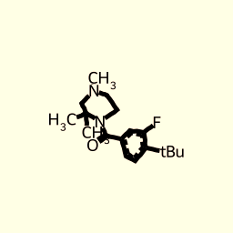 CN1CCN(C(=O)c2ccc(C(C)(C)C)c(F)c2)C(C)(C)C1